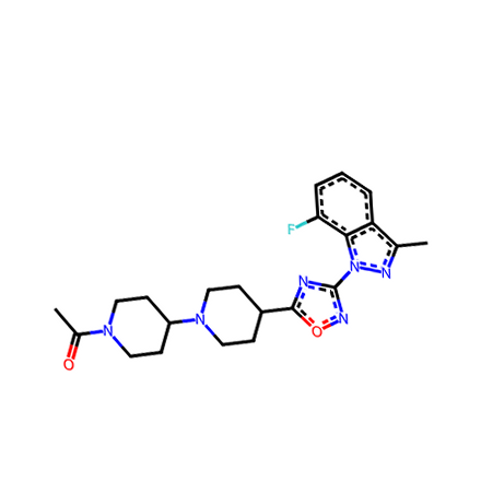 CC(=O)N1CCC(N2CCC(c3nc(-n4nc(C)c5cccc(F)c54)no3)CC2)CC1